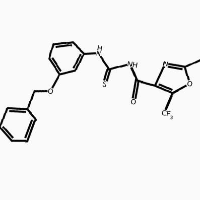 Cc1nc(C(=O)NC(=S)Nc2cccc(OCc3ccccc3)c2)c(C(F)(F)F)o1